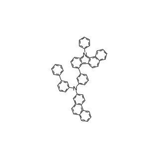 c1ccc(-c2cccc(N(c3cccc(-c4cccc5c4c4ccc6ccccc6c4n5-c4ccccc4)c3)c3ccc4c(ccc5ccccc54)c3)c2)cc1